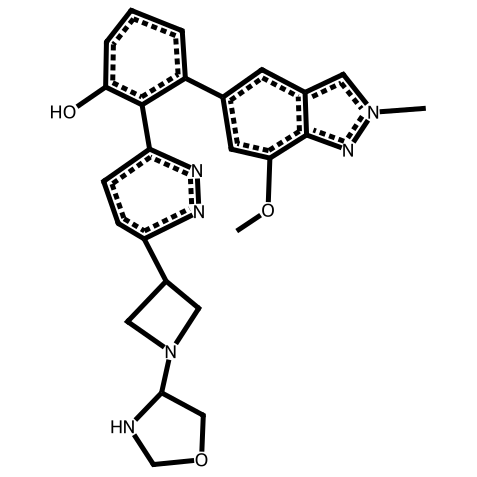 COc1cc(-c2cccc(O)c2-c2ccc(C3CN(C4COCN4)C3)nn2)cc2cn(C)nc12